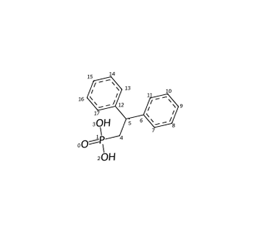 O=P(O)(O)C[C](c1ccccc1)c1ccccc1